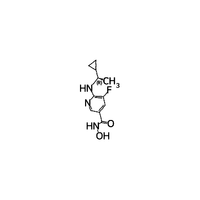 C[C@@H](Nc1ncc(C(=O)NO)cc1F)C1CC1